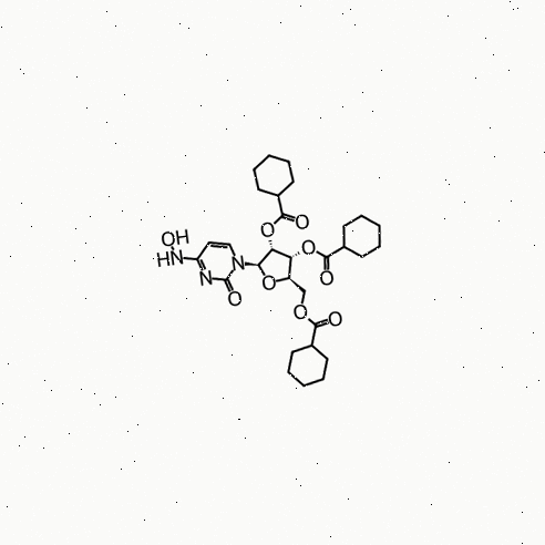 O=C(OC[C@H]1O[C@@H](n2ccc(NO)nc2=O)[C@H](OC(=O)C2CCCCC2)[C@@H]1OC(=O)C1CCCCC1)C1CCCCC1